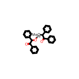 CC(C)OC(C(=O)c1ccccc1)c1ccccc1.COC(C(=O)c1ccccc1)c1ccccc1